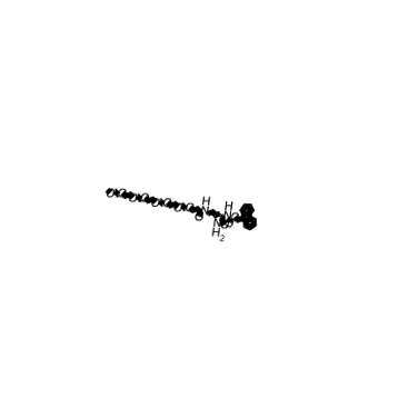 COCCOCCOCCOCCOCCOCCOCCOCCC(=O)NCCCC[C@H](NC(=O)OCC1c2ccccc2-c2ccccc21)C(N)=O